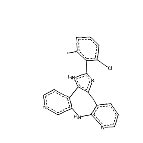 Cc1cccc(Cl)c1-c1nc2c([nH]1)-c1ccncc1Nc1ncccc1-2